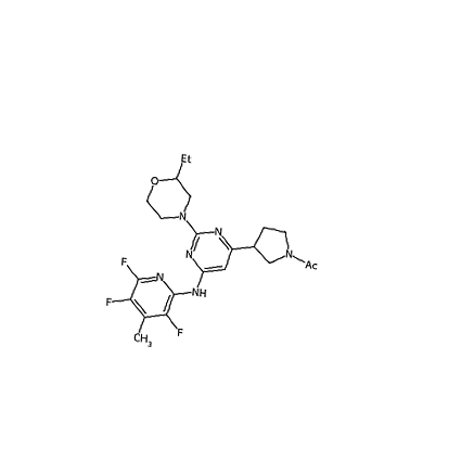 CCC1CN(c2nc(Nc3nc(F)c(F)c(C)c3F)cc(C3CCN(C(C)=O)C3)n2)CCO1